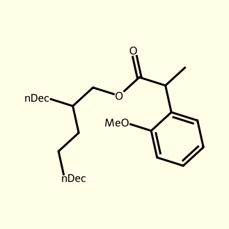 CCCCCCCCCCCCC(CCCCCCCCCC)COC(=O)C(C)c1ccccc1OC